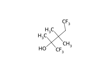 CC(C)(CC(F)(F)F)C(C)(O)C(F)(F)F